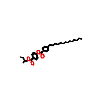 CCCCCCCCCCCCCCc1ccc(C(=O)Oc2ccc(C(=O)OCC(C)CC)cc2)cc1